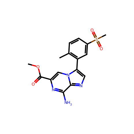 COC(=O)c1cn2c(-c3cc(S(C)(=O)=O)ccc3C)cnc2c(N)n1